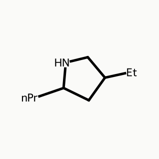 CCCC1CC(CC)CN1